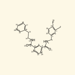 Cc1cc(CNC(=O)c2cc(C(=O)NCCc3cccnc3)ncn2)ccc1F